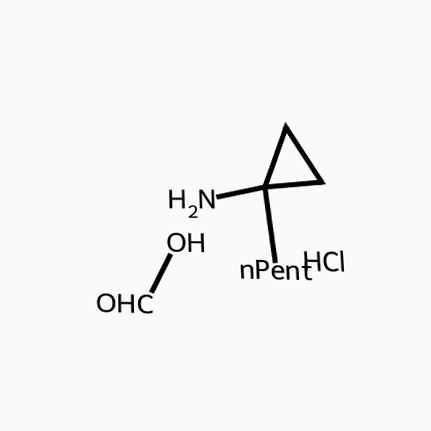 CCCCCC1(N)CC1.Cl.O=CO